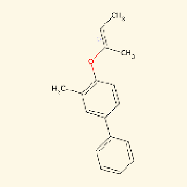 C/C=C(\C)Oc1ccc(-c2ccccc2)cc1C